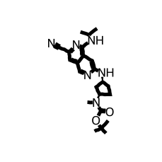 CC(C)Nc1nc(C#N)cc2cnc(N[C@H]3CC[C@@H](N(C)C(=O)OC(C)(C)C)C3)cc12